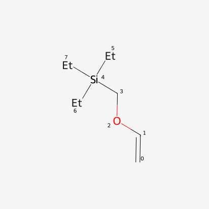 C=COC[Si](CC)(CC)CC